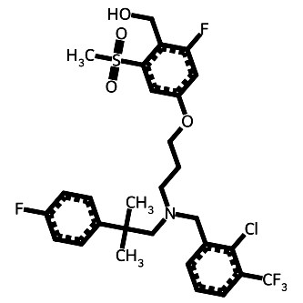 CC(C)(CN(CCCOc1cc(F)c(CO)c(S(C)(=O)=O)c1)Cc1cccc(C(F)(F)F)c1Cl)c1ccc(F)cc1